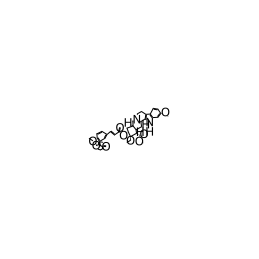 COC(=O)[C@H]1[C@H]2C[C@@H]3c4[nH]c5cc(OC)ccc5c4CCN3C[C@H]2C[C@@H](OC(=O)/C=C/c2ccc(OC)c(S(C)(=O)=O)c2)[C@@H]1OC